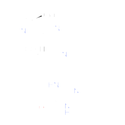 CC(C)(C)[C@]1(CNc2nc(-c3n[nH]c(=O)[nH]3)cc3ccccc23)CCCN1C(=O)O